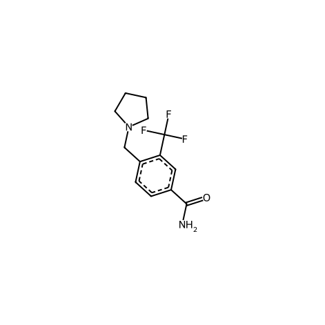 NC(=O)c1ccc(CN2CCCC2)c(C(F)(F)F)c1